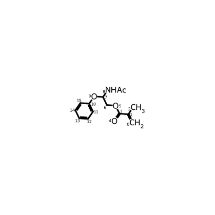 C=C(C)C(=O)OCC(NC(C)=O)Oc1ccccc1